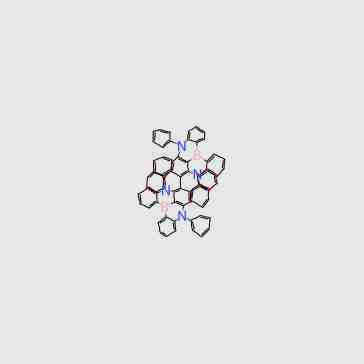 c1ccc(-c2cc3c4c(c2-c2c(-c5ccccc5)cc5c6c2N(c2ccccc2)c2ccccc2B6c2ccccc2N5c2ccccc2)N(c2ccccc2)c2ccccc2B4c2ccccc2N3c2ccccc2)cc1